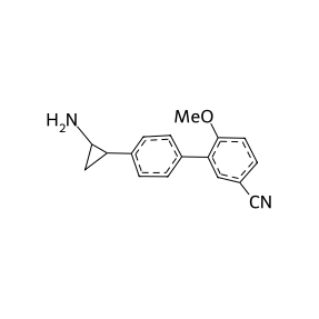 COc1ccc(C#N)cc1-c1ccc(C2CC2N)cc1